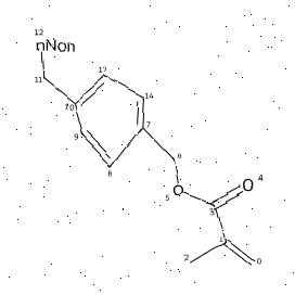 C=C(C)C(=O)OCc1ccc(CCCCCCCCCC)cc1